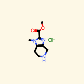 COC(=O)c1nc2c(n1C)CCNC2.Cl